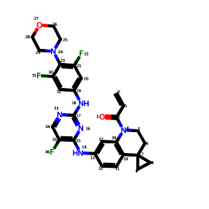 C=CC(=O)N1CCC2(CC2)c2ccc(Nc3nc(Nc4cc(F)c(N5CCOCC5)c(F)c4)ncc3F)cc21